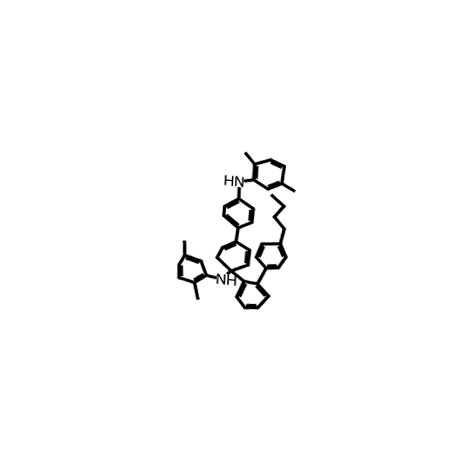 CCCCc1ccc(-c2ccccc2C2(Nc3cc(C)ccc3C)C=CC(c3ccc(Nc4cc(C)ccc4C)cc3)=CC2)cc1